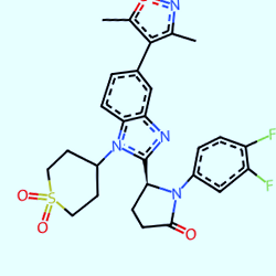 Cc1noc(C)c1-c1ccc2c(c1)nc([C@@H]1CCC(=O)N1c1ccc(F)c(F)c1)n2C1CCS(=O)(=O)CC1